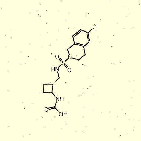 O=C(O)NC1CC[C@@H]1CNS(=O)(=O)N1CCc2cc(Cl)ccc2C1